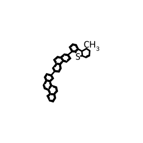 CC1CC=CC2Sc3c(-c4ccc5c(ccc6cc(-c7ccc8ccc9c%10ccccc%10ccc9c8c7)ccc65)c4)cccc3C12